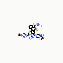 CC(C)C(=O)N1[C@H](C)CN(c2nc(=O)n3c4c(c(-c5cccc6sc(N)c(C#N)c56)c(C(F)(F)F)cc24)SCC3CN2CCN(C3CC3)CC2)C[C@@H]1C